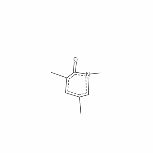 Cc1cc(C)c(=O)n(C)c1